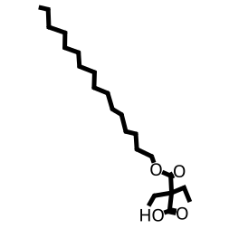 CCCCCCCCCCCCCCCCOC(=O)C(CC)(CC)C(=O)O